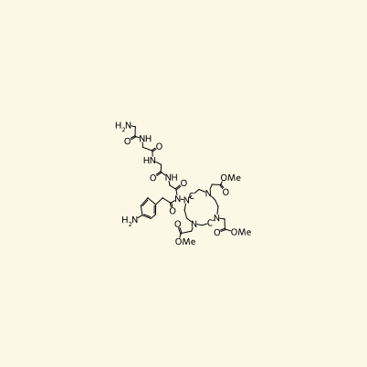 COC(=O)CN1CCN(CC(=O)OC)CCN(N(C(=O)CNC(=O)CNC(=O)CNC(=O)CN)C(=O)Cc2ccc(N)cc2)CCN(CC(=O)OC)CC1